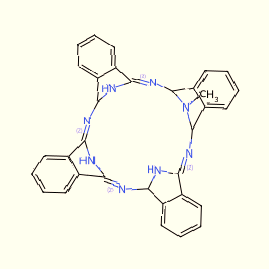 CN1C2/N=C3\NC(/N=c4\[nH]/c(c5ccccc45)=N\C4N/C(=N\C1c1ccccc12)c1ccccc14)c1ccccc13